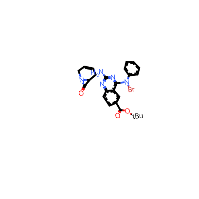 CC(C)(C)OC(=O)c1ccc2nc(N)nc(N(Br)c3ccccc3)c2c1.O=C1C2CC=CCN12